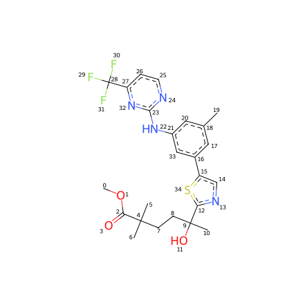 COC(=O)C(C)(C)CCC(C)(O)c1ncc(-c2cc(C)cc(Nc3nccc(C(F)(F)F)n3)c2)s1